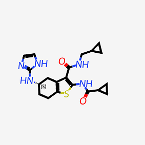 O=C(NCC1CC1)c1c(NC(=O)C2CC2)sc2c1C[C@@H](Nc1ncc[nH]1)CC2